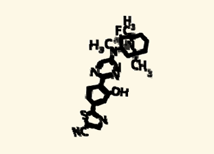 CN(c1cnc(-c2ccc(-c3ncc(C#N)s3)cc2O)nn1)[C@H]1C[C@]2(C)CCC[C@@](C)(N2)[C@H]1F